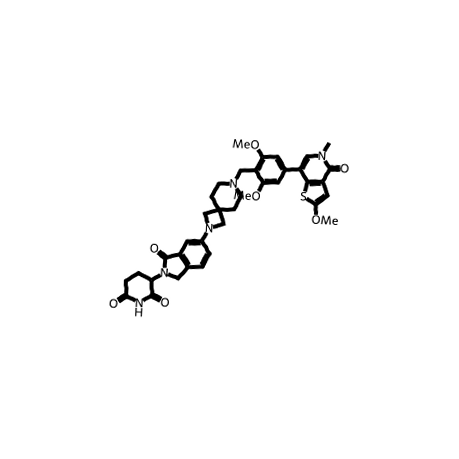 COc1cc2c(=O)n(C)cc(-c3cc(OC)c(CN4CCC5(CC4)CN(c4ccc6c(c4)C(=O)N(C4CCC(=O)NC4=O)C6)C5)c(OC)c3)c2s1